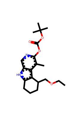 CCOCC1CCCc2[nH]c3cnc(OC(=O)OC(C)(C)C)c(C)c3c21